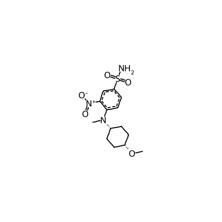 CO[C@H]1CC[C@@H](N(C)c2ccc(S(N)(=O)=O)cc2[N+](=O)[O-])CC1